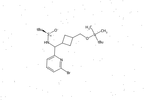 CC(C)(C)[S@@+]([O-])NC(c1cccc(Br)n1)C1CC(CO[Si](C)(C)C(C)(C)C)C1